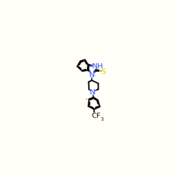 FC(F)(F)c1c[c]c(N2CCC(n3c(=S)[nH]c4ccccc43)CC2)cc1